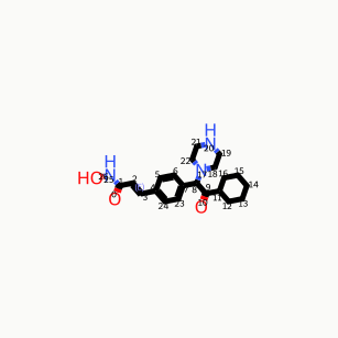 O=C(/C=C/c1ccc(C(C(=O)C2CCCCC2)N2CCNCC2)cc1)NO